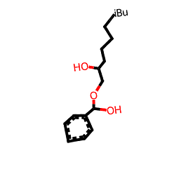 CCC(C)CCCCC(O)COC(O)c1ccccc1